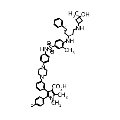 Cc1cc(S(=O)(=O)Nc2ccc(N3CCN(c4cccc(-c5c(C(=O)O)c(C)n(C)c5-c5ccc(F)cc5)c4)CC3)cc2)ccc1N[C@H](CCNC1CC(C)(O)C1)CSc1ccccc1